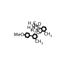 COc1ccc(-c2cc(C)cc(OCc3c(C)cccc3N(N)C(=O)N(C)N)c2)cc1